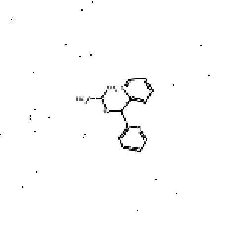 CC(NC(c1ccccn1)c1ccccn1)C(=O)O